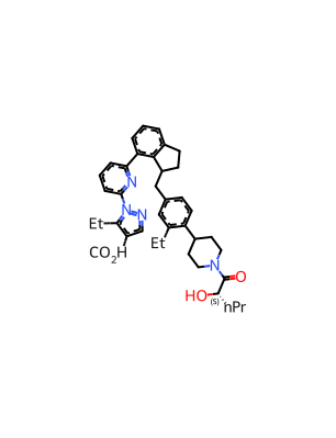 CCC[C@H](O)C(=O)N1CCC(c2ccc(CC3CCc4cccc(-c5cccc(-n6ncc(C(=O)O)c6CC)n5)c43)cc2CC)CC1